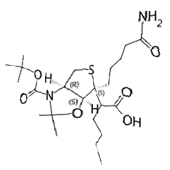 CCCCC(C(=O)O)[C@]1(CCCCC(N)=O)SC[C@H]2[C@@H]1OC(C)(C)N2C(=O)OC(C)(C)C